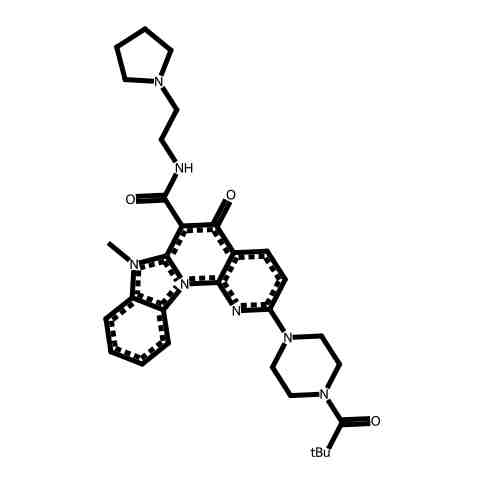 Cn1c2ccccc2n2c3nc(N4CCN(C(=O)C(C)(C)C)CC4)ccc3c(=O)c(C(=O)NCCN3CCCC3)c12